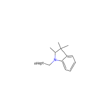 CCCCCCCCN1c2ccccc2C(C)(C)C1C